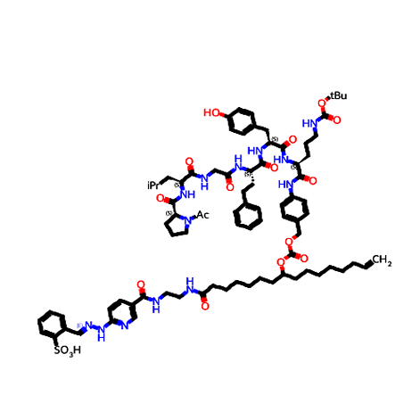 C=CCCCCCCC(CCCCCCC(=O)NCCNC(=O)c1ccc(N/N=C/c2ccccc2S(=O)(=O)O)nc1)OC(=O)OCc1ccc(NC(=O)[C@H](CCCNC(=O)OC(C)(C)C)NC(=O)[C@H](Cc2ccc(O)cc2)NC(=O)[C@H](CCc2ccccc2)NC(=O)CNC(=O)[C@H](CC(C)C)NC(=O)[C@@H]2CCCN2C(C)=O)cc1